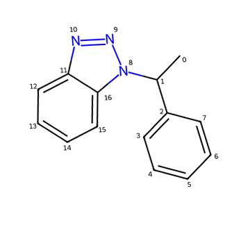 CC(c1ccccc1)n1nnc2ccccc21